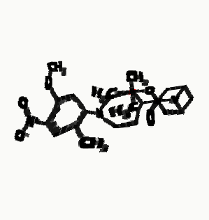 COc1cc(N2CCC(N3CC4CC(C3)N4C(=O)OC(C)(C)C)CC2)c(C)cc1[N+](=O)[O-]